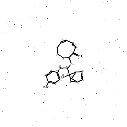 C=C1/C=C\C=C/CCCC1OC(Oc1ccc(C(C)CC)cc1)C1(C)CC2C=CC1C2